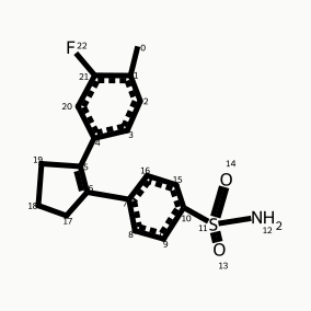 Cc1ccc(C2=C(c3ccc(S(N)(=O)=O)cc3)CCC2)cc1F